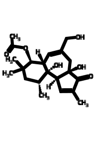 CC(=O)O[C@H]1[C@@H]2C=C(CO)C[C@]3(O)C(=O)C(C)=C[C@H]3[C@@]2(O)[C@H](C)CC1(C)C